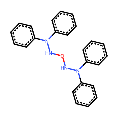 c1ccc(N(NONN(c2ccccc2)c2ccccc2)c2ccccc2)cc1